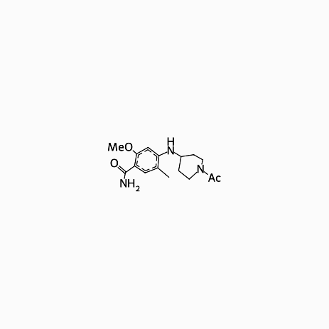 COc1cc(NC2CCN(C(C)=O)CC2)c(C)cc1C(N)=O